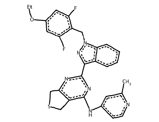 CCOc1cc(F)c(Cn2nc(-c3nc4c(c(Nc5ccnc(C)c5)n3)CSC4)c3ccccc32)c(F)c1